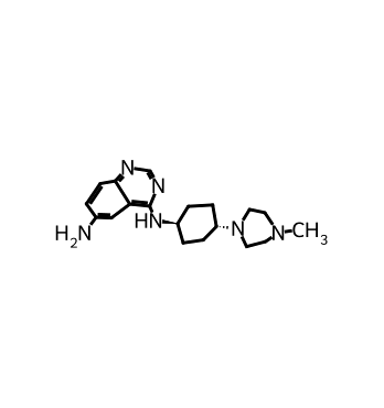 CN1CCN([C@H]2CC[C@H](Nc3ncnc4ccc(N)cc34)CC2)CC1